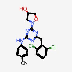 N#Cc1ccc(Nc2nc(Cc3c(Cl)cccc3Cl)nc(N3CC(O)CO3)n2)cc1